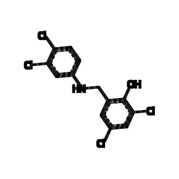 Oc1c(Cl)cc(Cl)cc1CNc1ccc(Cl)c(Cl)c1